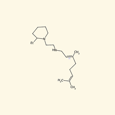 CCC1CCCCN1CCNC/C=C(\C)CCC=C(C)C